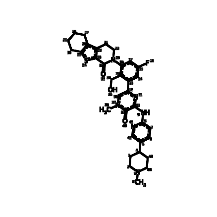 CN1CCC(c2ccc(Nc3nc(-c4cc(F)cc(N5CCc6c(sc7c6CCCC7)C5=O)c4CO)cn(C)c3=O)nc2)CC1